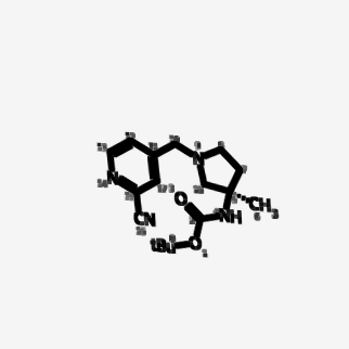 CC(C)(C)OC(=O)N[C@]1(C)CCN(Cc2ccnc(C#N)c2)C1